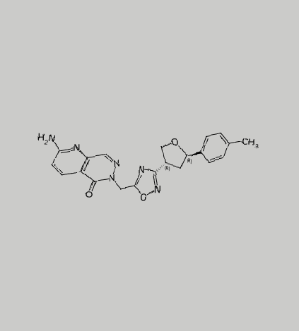 Cc1ccc([C@H]2C[C@H](c3noc(Cn4ncc5nc(N)ccc5c4=O)n3)CO2)cc1